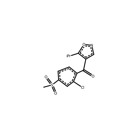 CC(C)c1oncc1C(=O)c1ccc(S(C)(=O)=O)cc1Cl